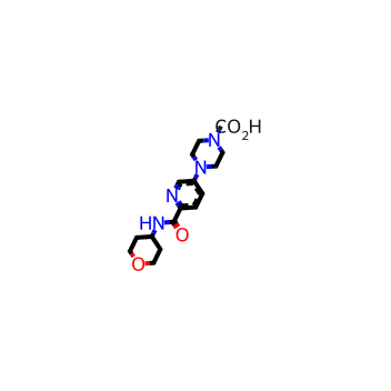 O=C(NC1CCOCC1)c1ccc(N2CCN(C(=O)O)CC2)cn1